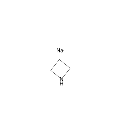 C1CNC1.[Na]